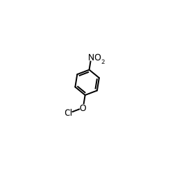 O=[N+]([O-])c1ccc(OCl)cc1